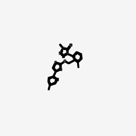 Cc1ccc(-c2csc(OCc3c(C)cccc3-n3nnn(C)c3=O)n2)nc1